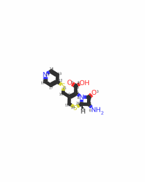 NC1C(=O)N2C(C(=O)O)=C(CSc3ccncc3)CS[C@@H]12